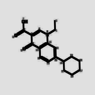 CCn1cc(C(=O)O)c(=O)c2ccc(C3CCCCC3)cc21